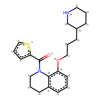 O=C(c1cccs1)N1CCCc2cccc(OCCCC3CCCNC3)c21